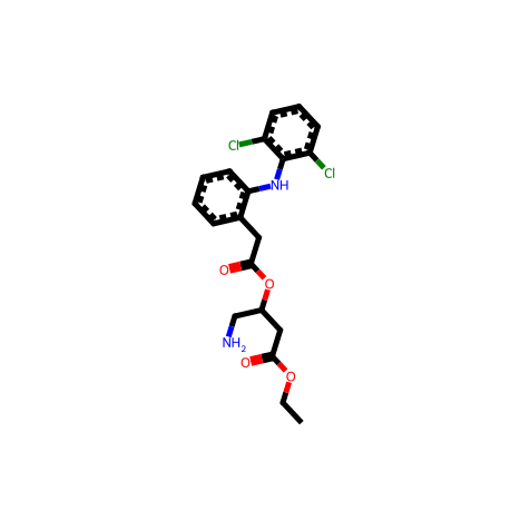 CCOC(=O)CC(CN)OC(=O)Cc1ccccc1Nc1c(Cl)cccc1Cl